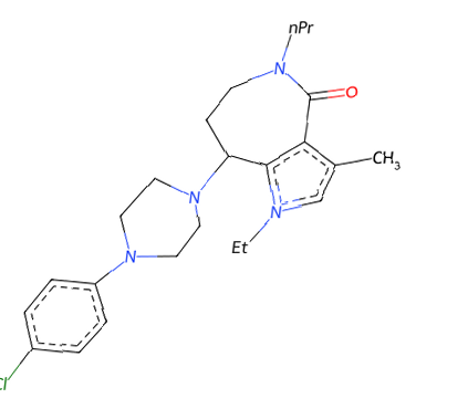 CCCN1CCC(N2CCN(c3ccc(Cl)cc3)CC2)c2c(c(C)cn2CC)C1=O